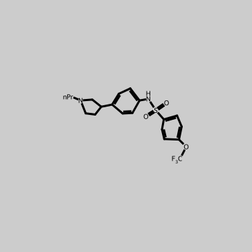 CCCN1CCC(c2ccc(NS(=O)(=O)c3ccc(OC(F)(F)F)cc3)cc2)C1